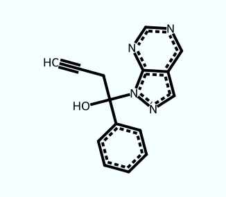 C#CCC(O)(c1ccccc1)n1ncc2cncnc21